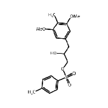 COc1cc(CC(O)COS(=O)(=O)c2ccc(C)cc2)cc(OC)c1C